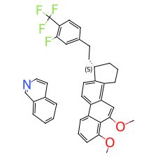 COc1cccc2c1c(OC)cc1c3c(ccc12)[C@H](CCc1ccc(C(F)(F)F)c(F)c1)CCC3.c1ccc2cnccc2c1